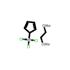 COCCOC.[Cl][Hf]([Cl])([Cl])[CH]1C=CC=C1